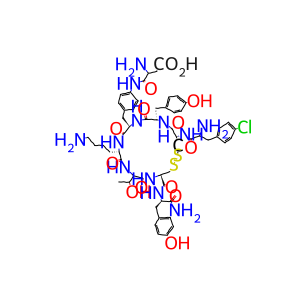 CC(O)C1NC(=O)[C@H](CCCCN)NC(=O)[C@@H](Cc2ccc(NC(=O)C(N)CC(=O)O)cc2)NC(=O)[C@H](Cc2ccc(O)cc2)NC(=O)[C@H](NC(=O)[C@@H](N)Cc2ccc(Cl)cc2)CSSC[C@@H](C(=O)N[C@H](Cc2ccc(O)cc2)C(N)=O)NC1=O